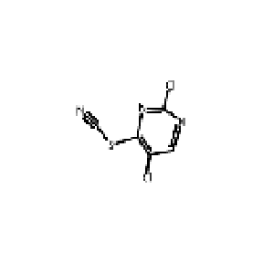 N#CSc1nc(Cl)ncc1Cl